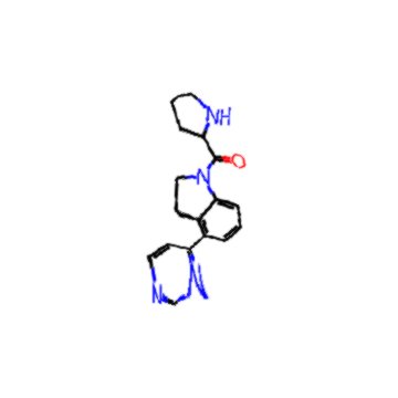 O=C(C1CCCN1)N1CCc2c(-c3ccncn3)cccc21